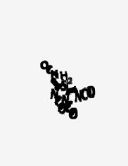 O=C=NCC(N=C=O)[SiH2]C(CN=C=O)N=C=O